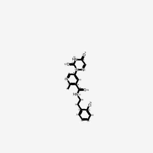 Cc1ncc(-n2ncc(=O)[nH]c2=O)cc1C(=O)NCCc1ccccc1Cl